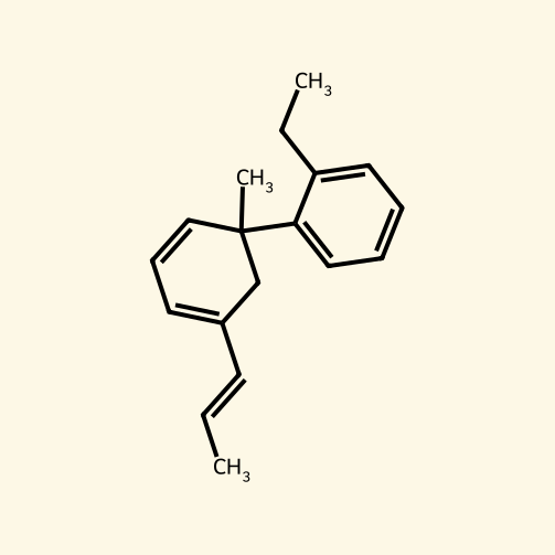 CC=CC1=CC=CC(C)(c2ccccc2CC)C1